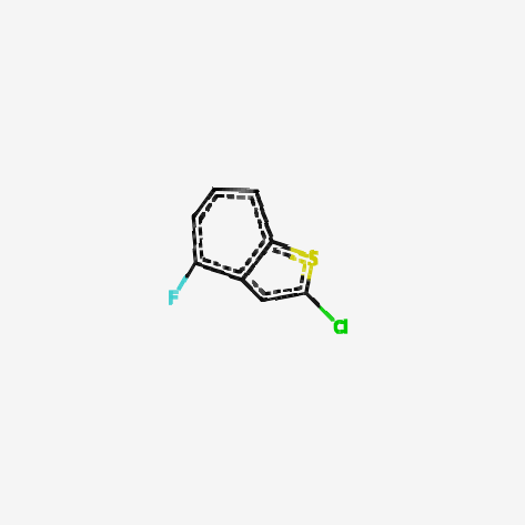 Fc1cccc2sc(Cl)cc12